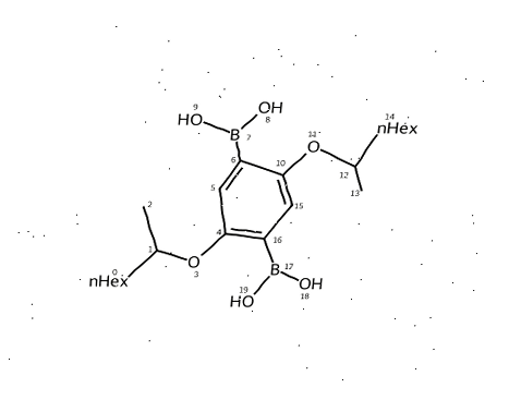 CCCCCCC(C)Oc1cc(B(O)O)c(OC(C)CCCCCC)cc1B(O)O